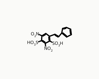 O=[N+]([O-])c1cc(C=Cc2ccccc2)c(S(=O)(=O)O)c([N+](=O)[O-])c1S(=O)(=O)O